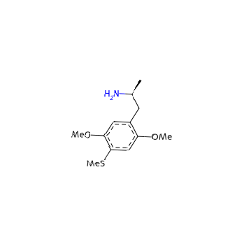 COc1cc(SC)c(OC)cc1C[C@H](C)N